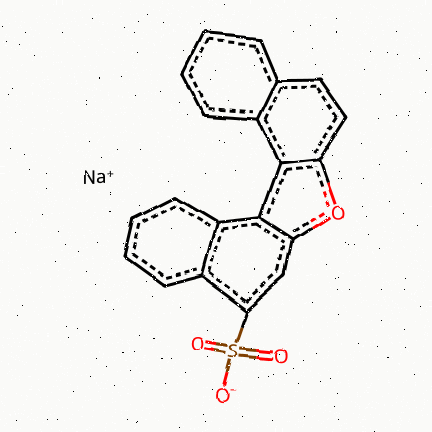 O=S(=O)([O-])c1cc2oc3ccc4ccccc4c3c2c2ccccc12.[Na+]